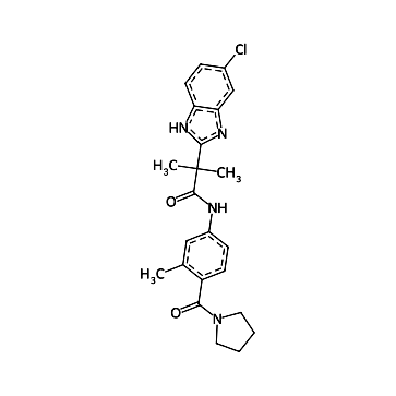 Cc1cc(NC(=O)C(C)(C)c2nc3cc(Cl)ccc3[nH]2)ccc1C(=O)N1CCCC1